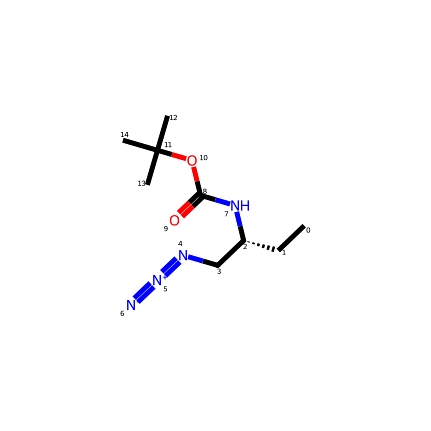 CC[C@H](CN=[N+]=[N-])NC(=O)OC(C)(C)C